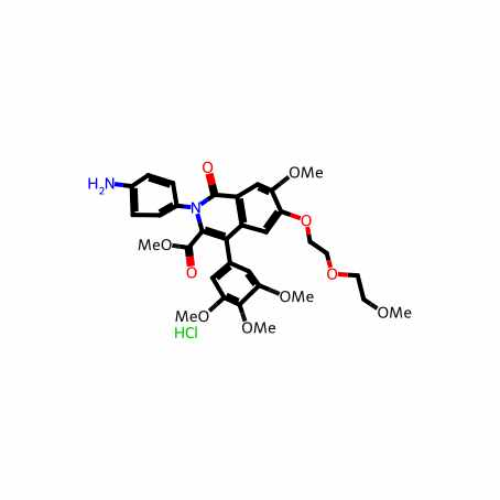 COCCOCCOc1cc2c(-c3cc(OC)c(OC)c(OC)c3)c(C(=O)OC)n(-c3ccc(N)cc3)c(=O)c2cc1OC.Cl